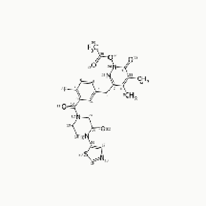 Cc1c(Cc2ccc(F)c(C(=O)N3CCN(c4cncs4)C(=O)C3)c2)nn(OC(=O)C(F)(F)F)c(=O)c1C